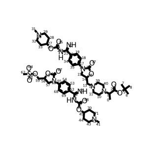 CC(C(=O)OC(C)(C)C)N1CCN(CC2CN(c3ccc(C(=N)NC(=O)OC4CCN(C)CC4)cc3)C(=O)O2)CC1.CN1CCC(OC(=O)NC(=N)c2ccc(N3CC(COS(C)(=O)=O)OC3=O)cc2)CC1